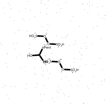 CCCCCC(O)O.O=S(=O)(O)OOS(=O)(=O)O.O=S(=O)(O)OOS(=O)(=O)O